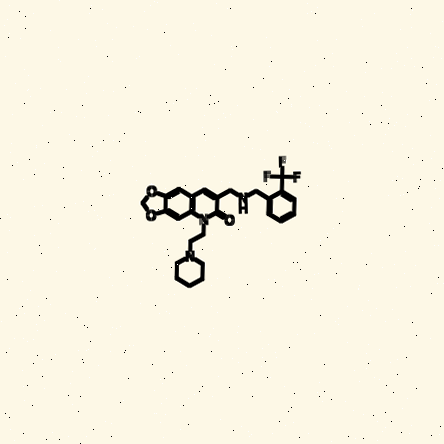 O=c1c(CNCc2ccccc2C(F)(F)F)cc2cc3c(cc2n1CCN1CCCCC1)OCO3